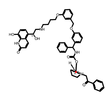 O=C(NC(c1ccccc1)c1cccc(OCc2cccc(OCCCCNC[C@@H](O)c3ccc(O)c4[nH]c(=O)ccc34)c2)c1)O[C@H]1C[N+]2(CC(=O)c3ccccc3)CCC1CC2